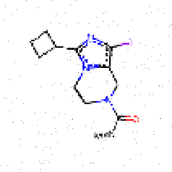 CNC(=O)N1CCn2c(C3CCC3)nc(I)c2C1